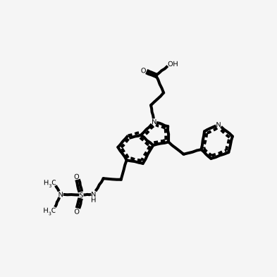 CN(C)S(=O)(=O)NCCc1ccc2c(c1)c(Cc1cccnc1)cn2CCC(=O)O